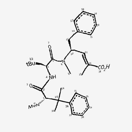 CN[C@H](C(=O)N[C@H](C(=O)N(C)[C@H](C=C(C)C(=O)O)Cc1ccccc1)C(C)(C)C)C(C)(C)c1ccccc1